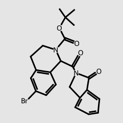 CC(C)(C)OC(=O)N1CCc2cc(Br)ccc2C1C(=O)N1Cc2ccccc2C1=O